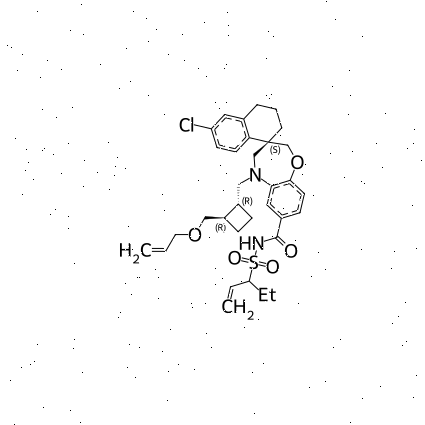 C=CCOC[C@@H]1CC[C@H]1CN1C[C@@]2(CCCc3cc(Cl)ccc32)COc2ccc(C(=O)NS(=O)(=O)C(C=C)CC)cc21